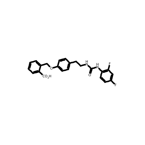 O=C(NCCc1ccc(OCc2ccccc2C(=O)O)cc1)Nc1ccc(F)cc1F